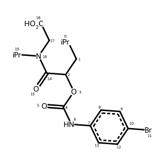 CC(C)CC(OC(=O)Nc1ccc(Br)cc1)C(=O)N(CC(=O)O)C(C)C